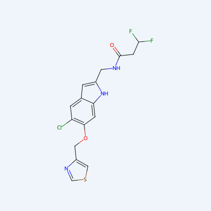 O=C(CC(F)F)NCc1cc2cc(Cl)c(OCc3cscn3)cc2[nH]1